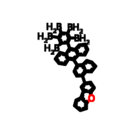 Bc1c(B)c(B)c(-c2c3ccccc3c(-c3ccc(-c4ccc5oc6ccccc6c5c4)c4ccccc34)c3ccccc23)c(B)c1B